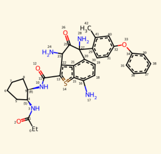 CCC(=O)N[C@H]1CCCC[C@H]1NC(=O)c1sc2c(N)ccc3c2c1C(N)C(=O)C3(N)c1ccc(Oc2ccccc2)cc1C